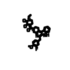 CCN1CCN(C(=O)N2CCc3c(nc(Cc4ccc(OC)c(F)c4)c4[nH]c5ccccc5c34)C2)C(=O)C1=O